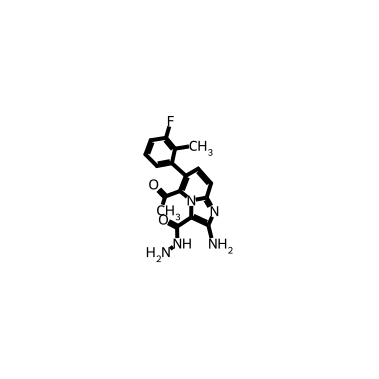 CC(=O)c1c(-c2cccc(F)c2C)ccc2nc(N)c(C(=O)NN)n12